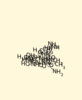 CC[C@H](C)[C@H](NC(=O)[C@H](CCCNC(=N)N)NC(=O)[C@@H](NC(=O)[C@@H](N)CCSC)C(C)C)C(=O)N[C@@H](CCCCN)C(=O)N1CCC[C@H]1C(=O)NCC(=O)N[C@@H](CO)C(=O)N[C@@H](C)C(=O)O